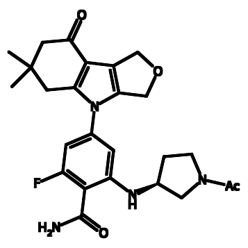 CC(=O)N1CC[C@H](Nc2cc(-n3c4c(c5c3CC(C)(C)CC5=O)COC4)cc(F)c2C(N)=O)C1